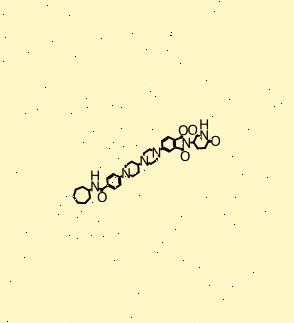 O=C1CCC(N2C(=O)c3ccc(N4CCN(C5CCN(c6ccc(C(=O)NC7CCCCCC7)cc6)CC5)CC4)cc3C2=O)C(=O)N1